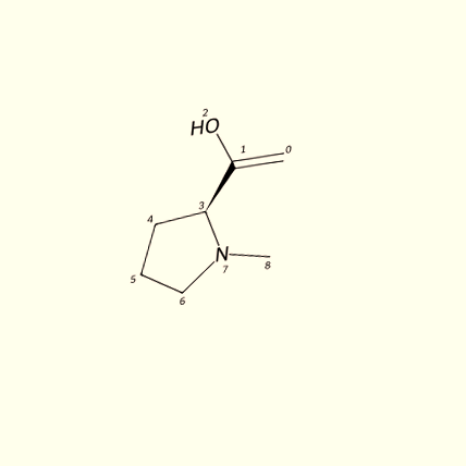 C=C(O)[C@@H]1CCCN1C